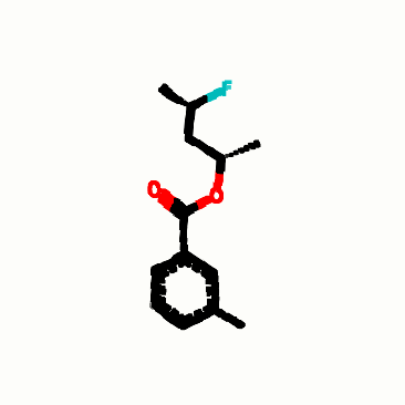 Cc1cccc(C(=O)O[C@@H](C)C[C@@H](C)F)c1